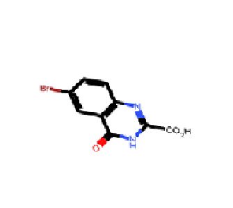 O=C(O)c1nc2ccc(Br)cc2c(=O)[nH]1